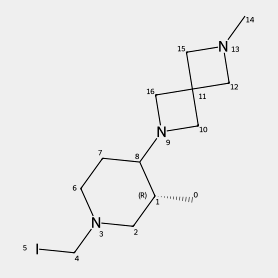 C[C@@H]1CN(CI)CCC1N1CC2(CN(C)C2)C1